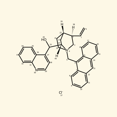 C=C[C@H]1C[N+]2(Cc3c4ccccc4cc4ccccc34)CC[C@H]1C[C@H]2C(O)c1ccnc2ccccc12.[Cl-]